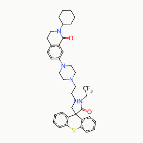 O=C1c2cc(N3CCN(CCCCC4(C(=O)NCC(F)(F)F)c5ccccc5Sc5ccccc54)CC3)ccc2CCN1C1CCCCC1